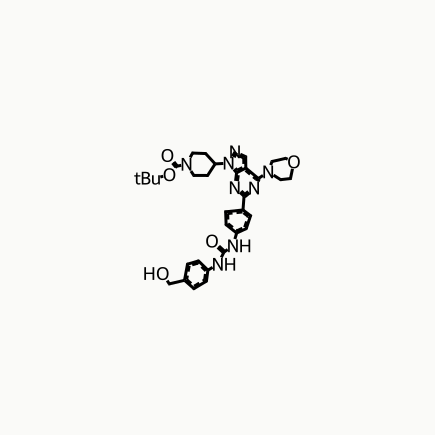 CC(C)(C)OC(=O)N1CCC(n2ncc3c(N4CCOCC4)nc(-c4ccc(NC(=O)Nc5ccc(CO)cc5)cc4)nc32)CC1